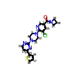 O=C(c1cnc(N2CCN(c3nccc(-c4cccs4)n3)CC2)c(Cl)c1)N1CCC1